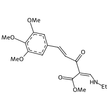 CCNC=C(C(=O)C=Cc1cc(OC)c(OC)c(OC)c1)C(=O)OC